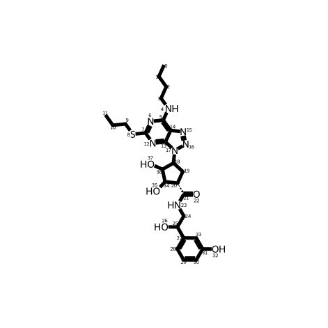 CCCCNc1nc(SCCC)nc2c1nnn2C1C[C@H](C(=O)NCC(O)c2cccc(O)c2)C(O)C1O